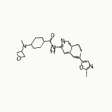 Cc1ncc(-c2ccc3cnc(NC(=O)C4CCC(N(C)C5COC5)CC4)cc3c2)o1